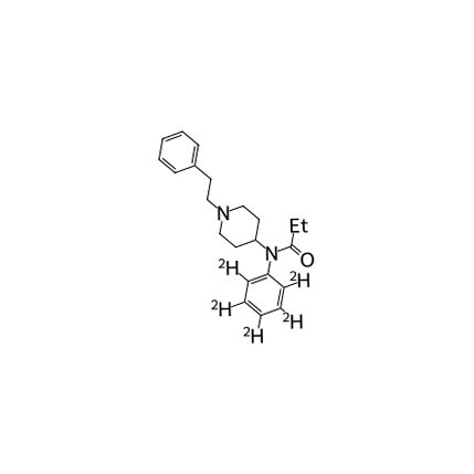 [2H]c1c([2H])c([2H])c(N(C(=O)CC)C2CCN(CCc3ccccc3)CC2)c([2H])c1[2H]